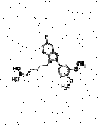 COc1ccc(-c2cc3cc(F)ccc3n2CCCCCB(O)O)cc1OC